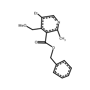 CCc1cnc(C)c(C(=O)OCc2ccccc2)c1COC